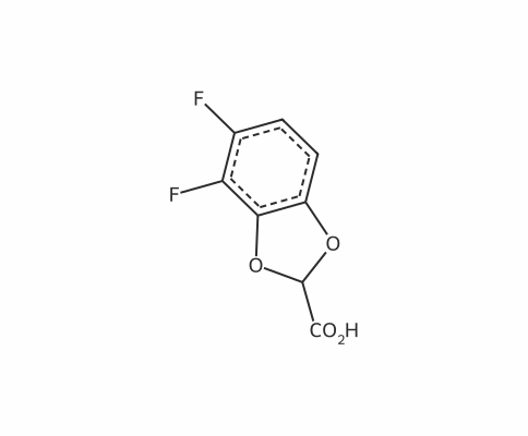 O=C(O)C1Oc2ccc(F)c(F)c2O1